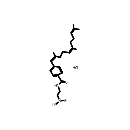 CC(C)=CCCC(C)=CCCC(C)=Cc1ccc(C(=O)NCCN(C(C)C)C(C)C)cc1.Cl